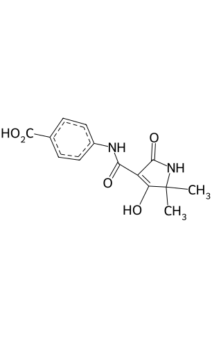 CC1(C)NC(=O)C(C(=O)Nc2ccc(C(=O)O)cc2)=C1O